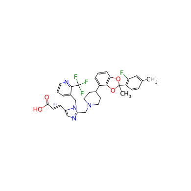 Cc1ccc(C2(C)Oc3cccc(C4CCN(Cc5ncc(/C=C/C(=O)O)n5Cc5cccnc5C(F)(F)F)CC4)c3O2)c(F)c1